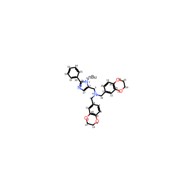 CCCCn1c(CN(Cc2ccc3c(c2)OCCO3)Cc2ccc3c(c2)OCCO3)cnc1-c1ccccc1